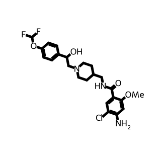 COc1cc(N)c(Cl)cc1C(=O)NCC1CCN(CC(O)c2ccc(OC(F)F)cc2)CC1